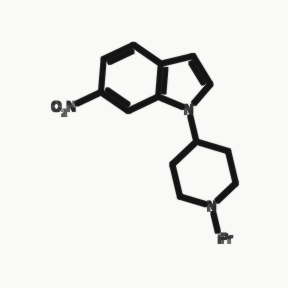 CC(C)N1CCC(n2ccc3ccc([N+](=O)[O-])cc32)CC1